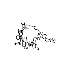 COc1ccc2nc3c(nc2c1)O[C@H]1CN(C(=O)[C@H](C(C)(C)C)NC(=O)O[C@@H]2C[C@H]2CCCCCC3)[C@H](C(C)=O)[C@@H]1C(F)(F)F